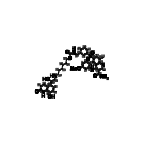 COc1cccc(Nc2c(C(N)=O)cnc3c(C)cc(S(=O)(=O)c4cccc(CNC(=O)OCCCCCCNCC(O)c5ccc(O)c6[nH]c(=O)ccc56)c4)cc23)c1